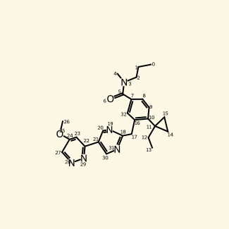 CCCN(C)C(=O)c1ccc(C2(CC)CC2)c(Cc2ncc(-c3cc(OC)cnn3)cn2)c1